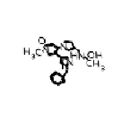 CC(O)NC[C@@H]1CCN(c2cc(=O)n(C)cc2-c2cnn(Cc3ccccc3)c2)C1